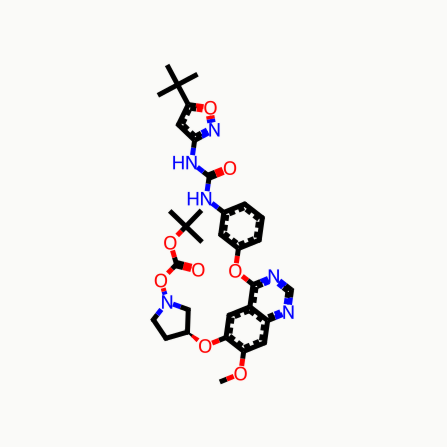 COc1cc2ncnc(Oc3cccc(NC(=O)Nc4cc(C(C)(C)C)on4)c3)c2cc1O[C@H]1CCN(OC(=O)OC(C)(C)C)C1